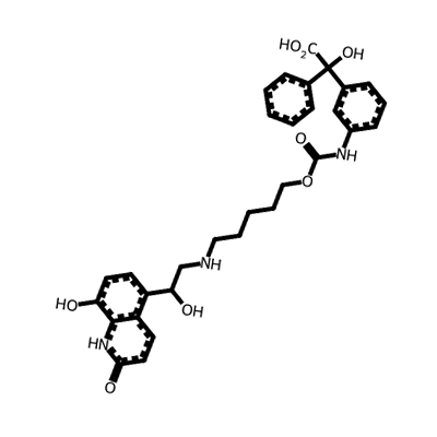 O=C(Nc1cccc(C(O)(C(=O)O)c2ccccc2)c1)OCCCCCNCC(O)c1ccc(O)c2[nH]c(=O)ccc12